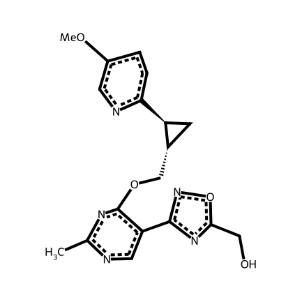 COc1ccc([C@H]2C[C@@H]2COc2nc(C)ncc2-c2noc(CO)n2)nc1